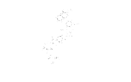 COc1cc(-c2cn(C)c(=O)c3cnccc23)cc(OC)c1CN1CC(Oc2ccc3c(c2)CN(C2CCC(=O)N(COC(=O)[C@@H](N)C(C)C)C2=O)C3=O)C1